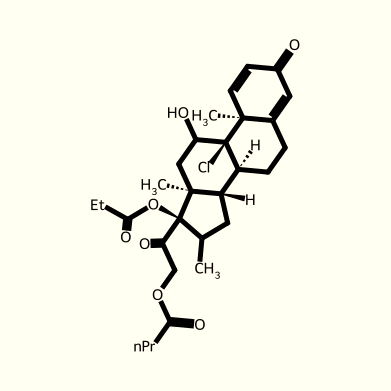 CCCC(=O)OCC(=O)[C@@]1(OC(=O)CC)C(C)C[C@H]2[C@@H]3CCC4=CC(=O)C=C[C@]4(C)[C@@]3(Cl)C(O)C[C@@]21C